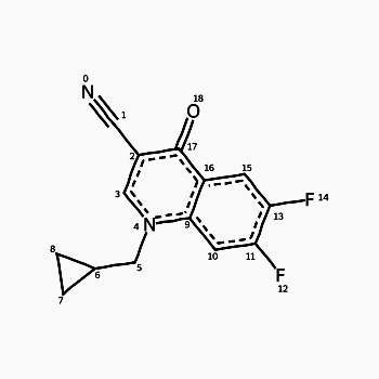 N#Cc1cn(CC2CC2)c2cc(F)c(F)cc2c1=O